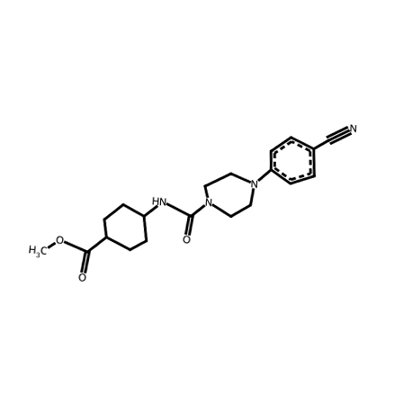 COC(=O)C1CCC(NC(=O)N2CCN(c3ccc(C#N)cc3)CC2)CC1